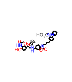 CC(C)(C)[Si](C)(C)OC(CNCc1ccc2c(c1)oc(=O)n2CCCCc1ccc(-c2ccccc2)c(NC(=O)O)c1)c1ccc(O)c2c1OCC(=O)N2